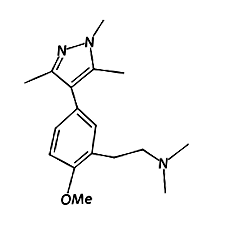 COc1ccc(-c2c(C)nn(C)c2C)cc1CCN(C)C